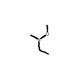 CCN(C)OC